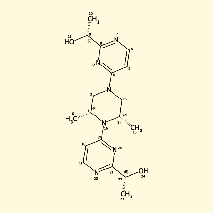 C[C@@H]1CN(c2ccnc([C@@H](C)O)n2)C[C@H](C)N1c1ccnc([C@@H](C)O)n1